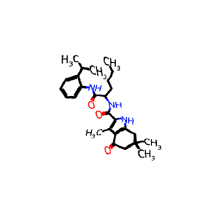 CCCCC(NC(=O)c1[nH]c2c(c1C)C(=O)CC(C)(C)C2)C(=O)Nc1ccccc1C(C)C